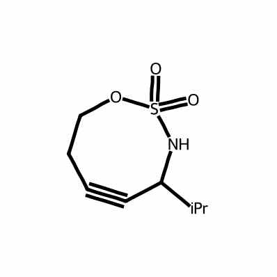 CC(C)C1C#CCCOS(=O)(=O)N1